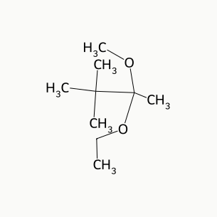 CCOC(C)(OC)C(C)(C)C